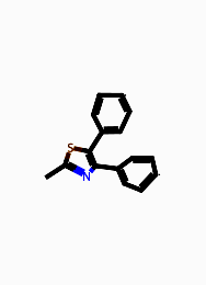 Cc1nc(-c2cc[c]cc2)c(-c2cc[c]cc2)s1